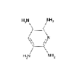 Nc1cc(N)c(N)nc1N